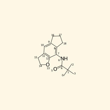 CC(C)(C)C(=O)Nc1c2c(cc3c1OCC3)CCC2